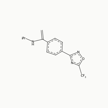 C=C(NC(C)C)c1ccc(-c2noc(C(F)(F)F)n2)cc1